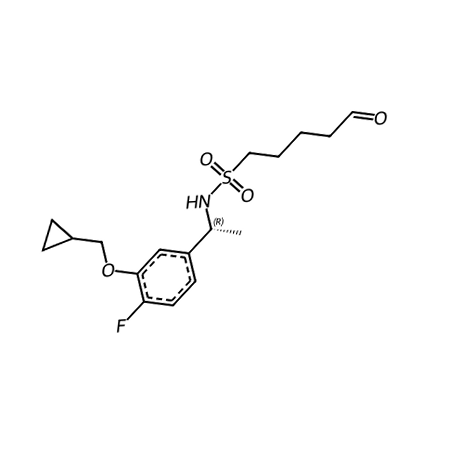 C[C@@H](NS(=O)(=O)CCCCC=O)c1ccc(F)c(OCC2CC2)c1